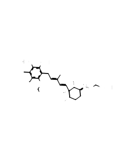 CC(/C=C/[C@@]1(C)[C@H](C)CCC(=NOCC(=O)O)[C@@H]1C)=C\Cc1c(O)c(C=O)c(C)c(Cl)c1OCF